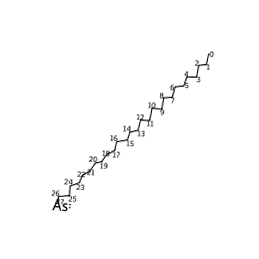 CCCCCCCCCCCCCCCCCCCCCCCCCCC[As]